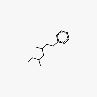 CCC(C)CC(C)CCc1ccccc1